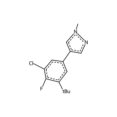 Cn1cc(-c2cc(Cl)c(F)c(C(C)(C)C)c2)cn1